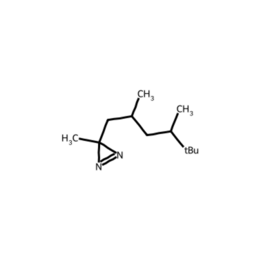 CC(CC(C)C(C)(C)C)CC1(C)N=N1